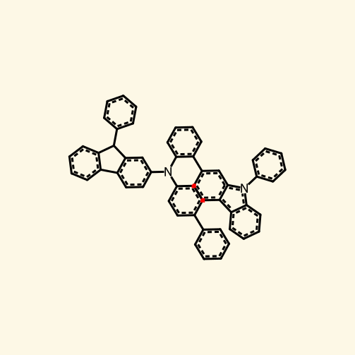 c1ccc(-c2ccc(N(c3ccc4c(c3)C(c3ccccc3)c3ccccc3-4)c3ccccc3-c3ccc4c5ccccc5n(-c5ccccc5)c4c3)cc2)cc1